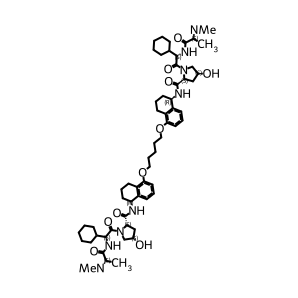 CN[C@@H](C)C(=O)N[C@H](C(=O)N1C[C@@H](O)C[C@H]1C(=O)N[C@@H]1CCCc2c(OCCCCCOc3cccc4c3CCC[C@H]4NC(=O)[C@@H]3C[C@H](O)CN3C(=O)[C@@H](NC(=O)[C@H](C)NC)C3CCCCC3)cccc21)C1CCCCC1